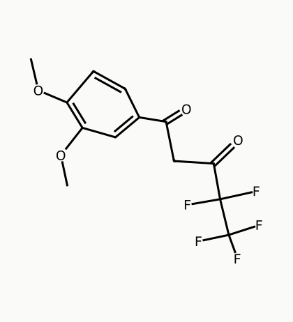 COc1ccc(C(=O)CC(=O)C(F)(F)C(F)(F)F)cc1OC